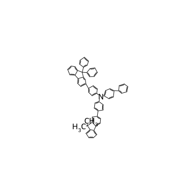 CC1(C)c2ccccc2-c2ccc(-c3ccc(N(c4ccc(-c5ccccc5)cc4)c4ccc(-c5ccc6c(c5)C(c5ccccc5)(c5ccccc5)c5ccccc5-6)cc4)cc3)cc21